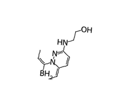 B/C(=C/C)N1N=C(NCCO)C=CC1=CC